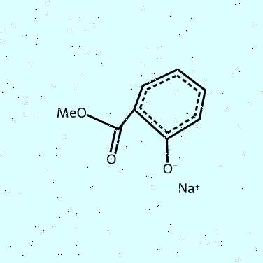 COC(=O)c1ccccc1[O-].[Na+]